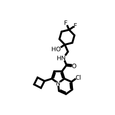 O=C(NCC1(O)CCC(F)(F)CC1)c1cc(C2CCC2)n2cccc(Cl)c12